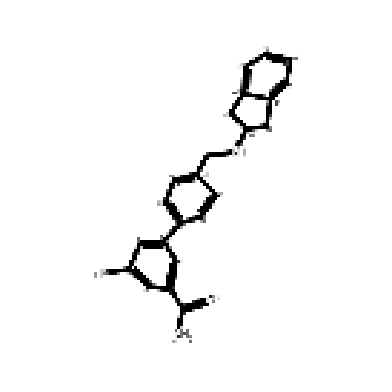 NC(=O)c1cc(F)cc(-c2ccc(CNC3Cc4ccccc4C3)cc2)c1